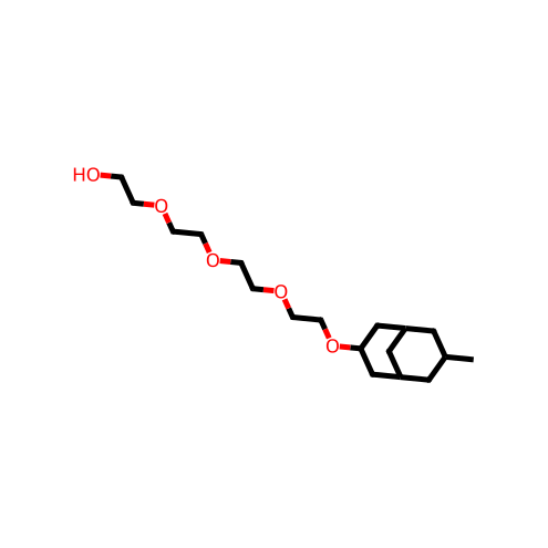 CC1CC2CC(C1)CC(OCCOCCOCCOCCO)C2